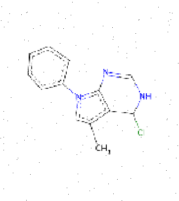 Cc1cn(-c2ccccc2)c2c1C(Cl)NC=N2